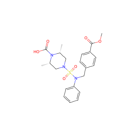 COC(=O)c1ccc(CN(c2ccccc2)S(=O)(=O)N2C[C@@H](C)N(C(=O)O)[C@@H](C)C2)cc1